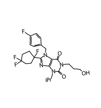 CC(C)n1c(=O)n(CCCO)c(=O)c2c1nc(C1(F)CCC(F)(F)CC1)n2Cc1ccc(F)cc1